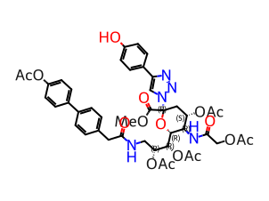 COC(=O)[C@@]1(n2cc(-c3ccc(O)cc3)nn2)C[C@H](OC(C)=O)[C@@H](NC(=O)COC(C)=O)[C@H]([C@H](OC(C)=O)[C@@H](CNC(=O)Cc2ccc(-c3ccc(OC(C)=O)cc3)cc2)OC(C)=O)O1